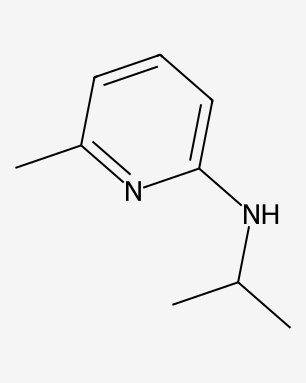 Cc1cccc(NC(C)C)n1